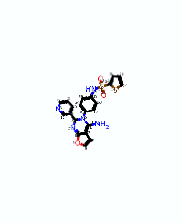 NC1=c2ccoc2=NC(c2cccnc2)N1c1ccc(NS(=O)(=O)c2cccs2)cc1